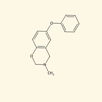 CN1COc2ccc(Oc3ccccc3)cc2C1